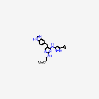 COCCNc1ncc(Cc2ccc3[nH]cnc3c2)c(Nc2cc(C3CC3)[nH]n2)n1